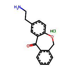 Cl.NCCc1ccc2c(c1)C(=O)c1ccccc1CO2